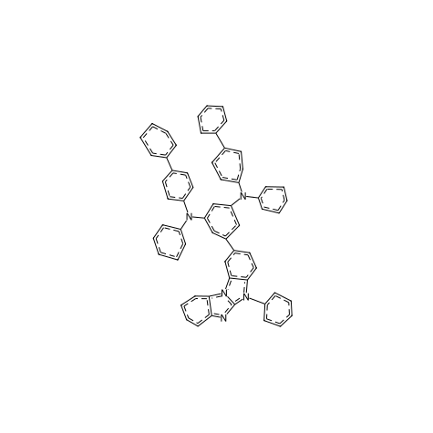 c1ccc(-c2ccc(N(c3ccccc3)c3cc(-c4ccc5c(c4)n4c6ccccc6nc4n5-c4ccccc4)cc(N(c4ccccc4)c4ccc(-c5ccccc5)cc4)c3)cc2)cc1